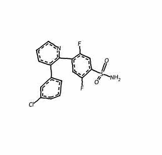 NS(=O)(=O)c1cc(F)c(-c2ncccc2-c2cccc(Cl)c2)cc1F